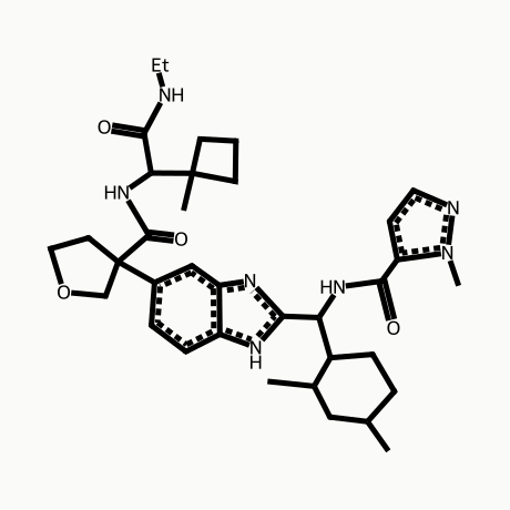 CCNC(=O)C(NC(=O)C1(c2ccc3[nH]c(C(NC(=O)c4ccnn4C)C4CCC(C)CC4C)nc3c2)CCOC1)C1(C)CCC1